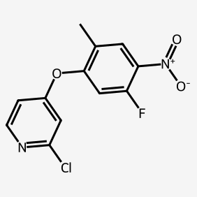 Cc1cc([N+](=O)[O-])c(F)cc1Oc1ccnc(Cl)c1